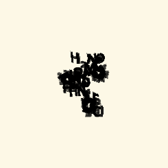 NC(=O)c1nn(CC(=O)N2[C@H](C(=O)NCc3cccc(Cl)c3F)C[C@@H]3CCC[C@@H]32)c2ccccc12